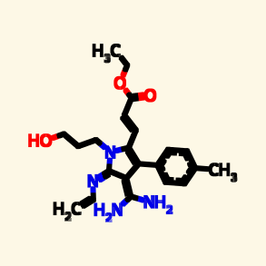 C=C/N=C1\C(=C(N)N)C(c2ccc(C)cc2)=C(/C=C/C(=O)OCC)N1CCCO